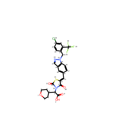 O=C(O)C(C1CCOCC1)N1C(=O)SC(=Cc2ccc3c(cnn3Cc3ccc(Cl)cc3C(F)(F)F)c2)C1=O